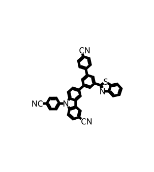 N#Cc1ccc(-c2cc(-c3ccc4c(c3)c3cc(C#N)ccc3n4-c3ccc(C#N)cc3)cc(-c3nc4ccccc4s3)c2)cc1